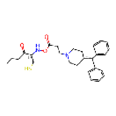 CCCC(=O)[C@H](CS)NOC(=O)CCN1CCC(=C(c2ccccc2)c2ccccc2)CC1